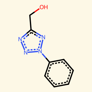 OCc1nnn(-c2ccccc2)n1